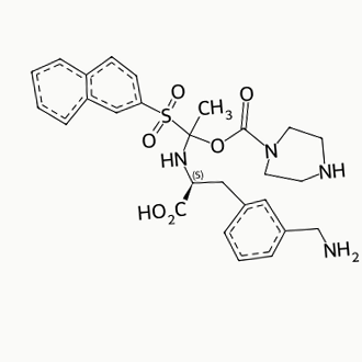 CC(N[C@@H](Cc1cccc(CN)c1)C(=O)O)(OC(=O)N1CCNCC1)S(=O)(=O)c1ccc2ccccc2c1